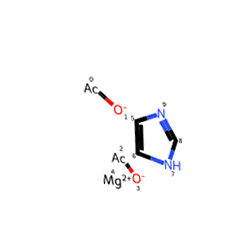 CC(=O)[O-].CC(=O)[O-].[Mg+2].c1c[nH]cn1